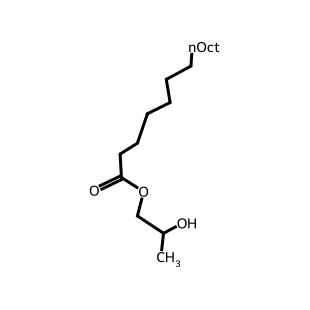 CCCCCCCCCCCCCCC(=O)OCC(C)O